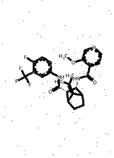 COc1cnccc1C(=O)N[C@@H]1C2CCC(C2=C(C)C)[C@@H]1C(=O)Nc1ccc(F)c(C(F)(F)F)c1